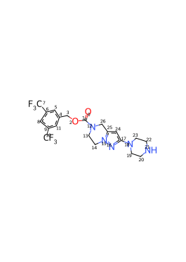 O=C(OCc1cc(C(F)(F)F)cc(C(F)(F)F)c1)N1CCn2nc(N3CCNCC3)cc2C1